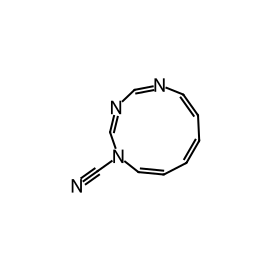 N#CN1C=CC=CC=CN=CN=C1